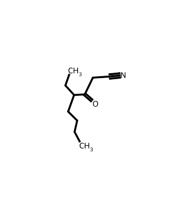 CCCCC(CC)C(=O)CC#N